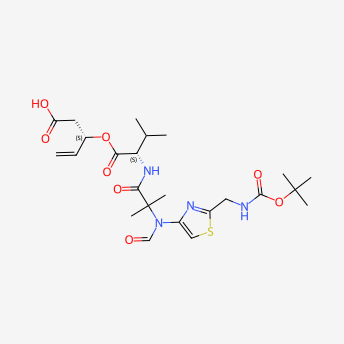 C=C[C@H](CC(=O)O)OC(=O)[C@@H](NC(=O)C(C)(C)N(C=O)c1csc(CNC(=O)OC(C)(C)C)n1)C(C)C